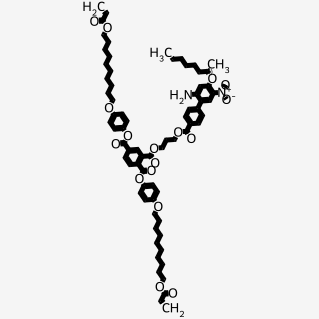 C=CC(=O)OCCCCCCCCCCOc1ccc(OC(=O)c2ccc(C(=O)Oc3ccc(OCCCCCCCCCCOC(=O)C=C)cc3)c(C(=O)OCCCOC(=O)c3ccc(-c4cc([N+](=O)[O-])c(O[C@@H](C)CCCCCC)cc4N)cc3)c2)cc1